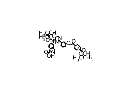 Cc1cnc(-c2cccc(OCC(=O)C3CCN(C(=O)OC(C)(C)C)CC3)c2)nc1N(C(=O)OC(C)(C)C)c1ccc2c(cnn2C(=O)O)c1